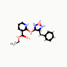 CCOC(=O)c1cccnc1Oc1nonc1Cc1ccccc1